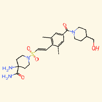 Cc1cc(C(=O)N2CCC(CO)CC2)cc(C)c1/C=C/S(=O)(=O)N1CCC(N)(C(N)=O)CC1